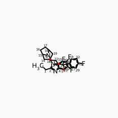 CCc1nc2cc(F)c(F)cc2n1C1CC2CCC(C1)N2CCCC(F)(F)c1ccc(F)cc1